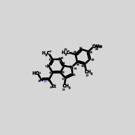 CC/C(=N/O)c1nc(C)nc2c1c(C)cn2-c1c(C)cc(OC)cc1C